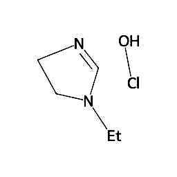 CCN1C=NCC1.OCl